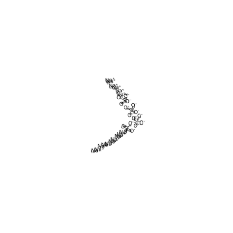 [Na+].[Na+].[Na+].[Na+].[Na+].[Na+].[Na+].[Na+].[Na+].[Na+].[Na+].[Na+].[Na+].[Na+].[Na+].[Na+].[O-][Si]([O-])([O-])[O-].[O-][Si]([O-])([O-])[O-].[O-][Si]([O-])([O-])[O-].[O-][Si]([O-])([O-])[O-]